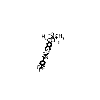 COC(=O)C(C)(C)Oc1ccc2c(c1)CCN(Cc1nc(-c3ccc(C(F)(F)F)cc3)cs1)C2